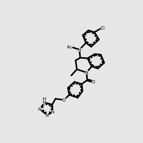 CC(=O)N(c1ccc(Cl)cc1)C1CC(C)N(C(=O)c2ccc(OCc3nnn[nH]3)cc2)c2ccccc21